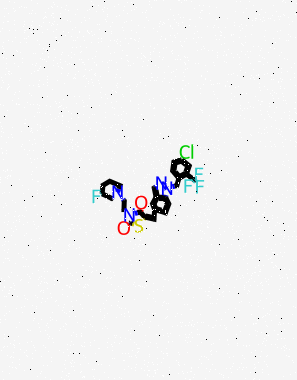 O=C1SC(=Cc2ccc3c(cnn3Cc3ccc(Cl)cc3C(F)(F)F)c2)C(=O)N1CCN1CCCC(F)C1